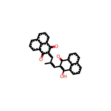 CC(=CC1=C(O)c2cccc3cccc(c23)C1=O)C=c1c(=O)c2cccc3cccc(c1=O)c32